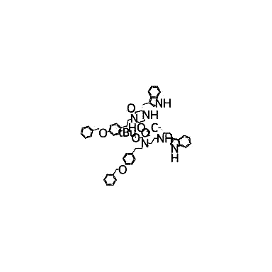 CC(C)(C)OC(=O)N(CCN[C@H](CC(=O)O)Cc1c[nH]c2ccccc12)CCc1ccc(OCc2ccccc2)cc1.O=C1[C@H](Cc2c[nH]c3ccccc23)NCCN1CCc1ccc(OCc2ccccc2)cc1